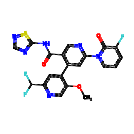 COc1cnc(C(F)F)cc1-c1cc(-n2cccc(F)c2=O)ncc1C(=O)Nc1ncns1